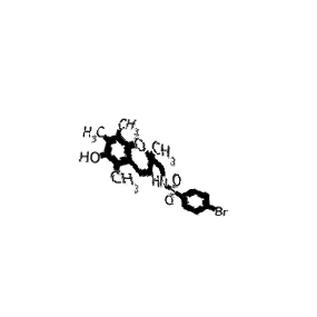 Cc1c(C)c2c(c(C)c1O)CCC(C)(CNS(=O)(=O)c1ccc(Br)cc1)O2